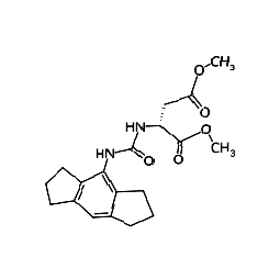 COC(=O)C[C@@H](NC(=O)Nc1c2c(cc3c1CCC3)CCC2)C(=O)OC